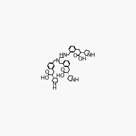 O=C(O)C(Cc1cccc(CNCCN(Cc2cccc(CC(C(=O)O)[C@H]3CCNC3)c2)Cc2cccc(CC(C(=O)O)[C@H]3CCNC3)c2)c1)[C@H]1CCNC1